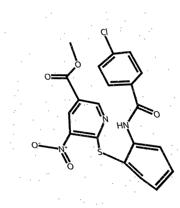 COC(=O)c1cnc(Sc2ccccc2NC(=O)c2ccc(Cl)cc2)c([N+](=O)[O-])c1